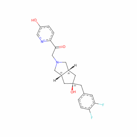 O=C(CN1C[C@@H]2C[C@](O)(Cc3ccc(F)c(F)c3)C[C@@H]2C1)c1ccc(O)cn1